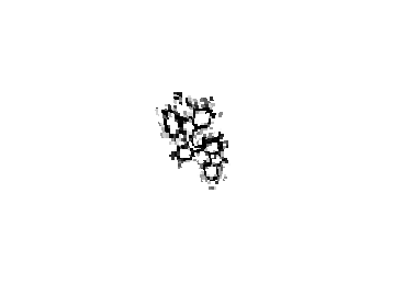 OC1(c2ccccc2-c2cccc3c2-c2ccccc2C3)c2ccccc2-c2c(Br)cccc21